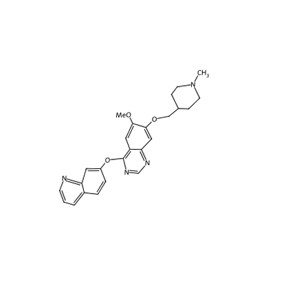 COc1cc2c(Oc3ccc4cccnc4c3)ncnc2cc1OCC1CCN(C)CC1